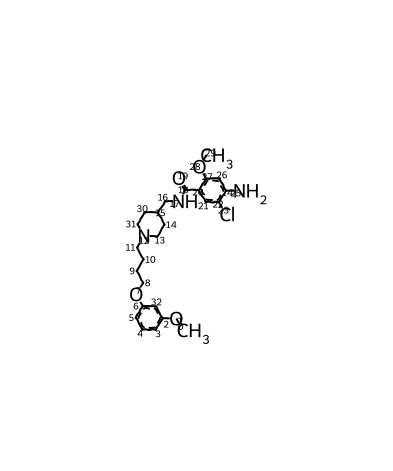 COc1cccc(OCCCCN2CCC(CNC(=O)c3cc(Cl)c(N)cc3OC)CC2)c1